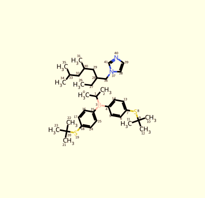 CC(C)B(c1ccc(SC(C)(C)C)cc1)c1ccc(SC(C)(C)C)cc1.CCC(CC(C)CC(C)C)Cn1ccnc1